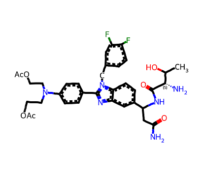 CC(=O)OCCN(CCOC(C)=O)c1ccc(-c2nc3cc(C(CC(N)=O)NC(=O)[C@@H](N)C(C)O)ccc3n2Cc2ccc(F)c(F)c2)cc1